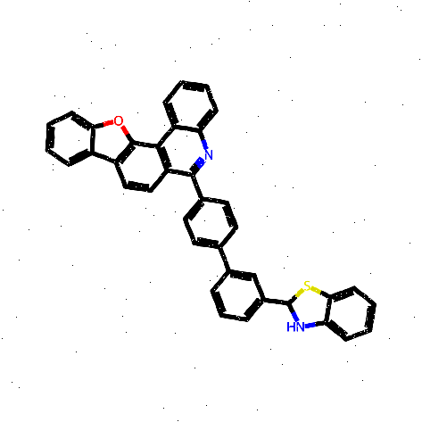 c1cc(-c2ccc(-c3nc4ccccc4c4c3ccc3c5ccccc5oc34)cc2)cc(C2Nc3ccccc3S2)c1